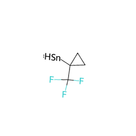 FC(F)(F)[C]1([SnH])CC1